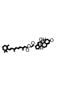 CC1=C(/C=C/C(C)=C/C=C/C(C)=C/C(=O)OCC(=O)[C@H]2CC[C@H]3[C@@H]4CCC5=CC(=O)CC[C@]5(C)[C@H]4[C@@H](O)C[C@]23C)C(C)(C)CCC1